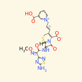 CO/N=C(\C(=O)N[C@@H]1C(=O)N2C(C(=O)[O-])=C(/C=C/C[n+]3cccc(C(=O)O)c3)CS[C@@H]12)c1nsc(N)n1